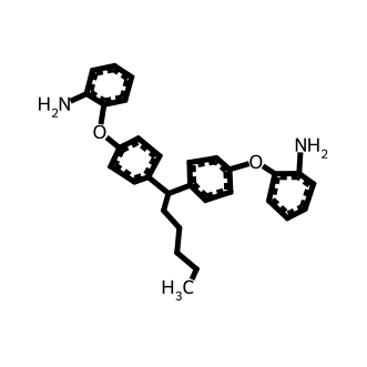 CCCCCC(c1ccc(Oc2ccccc2N)cc1)c1ccc(Oc2ccccc2N)cc1